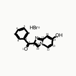 Br.O=C(c1ccccc1)c1cn2ccc(O)cc2n1